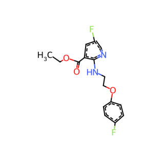 CCOC(=O)c1cc(F)cnc1NCCOc1ccc(F)cc1